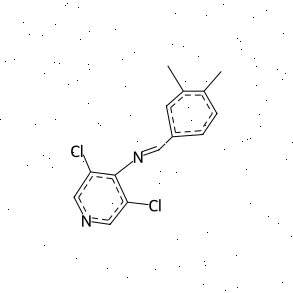 Cc1ccc(C=Nc2c(Cl)cncc2Cl)cc1C